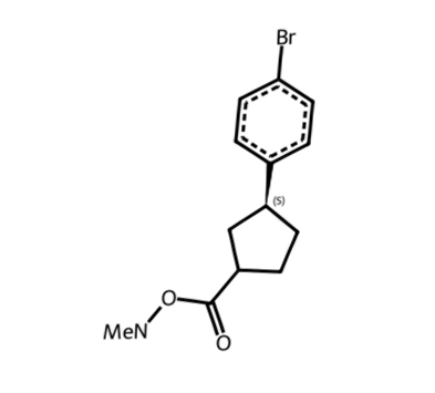 CNOC(=O)C1CC[C@H](c2ccc(Br)cc2)C1